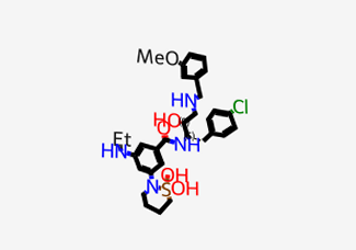 CCNc1cc(C(=O)N[C@@H](Cc2ccc(Cl)cc2)[C@@H](O)CNCc2cccc(OC)c2)cc(N2CCCCS2(O)O)c1